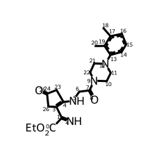 CCOC(=O)C(=N)C1=C(NCC(=O)N2CCN(c3cccc(C)c3C)CC2)CC(=O)C1